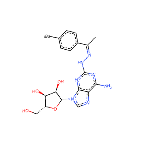 CCC(C)c1ccc(/C(C)=N\Nc2nc(N)c3ncn([C@@H]4O[C@H](CO)[C@@H](O)[C@H]4O)c3n2)cc1